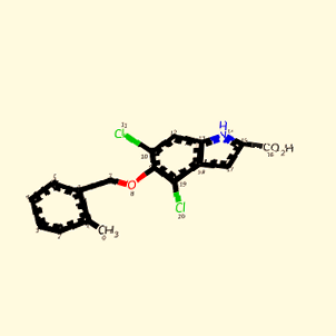 Cc1ccccc1COc1c(Cl)cc2[nH]c(C(=O)O)cc2c1Cl